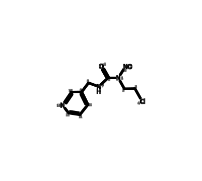 O=NN(CCCl)C(=O)NCc1cccnc1